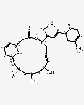 C=C1CC(O)/C=C/C[C@@H]([C@H](/C=C/[C@@H]2CC(C)=CCO2)OC)OC(=O)C[C@@H]2C=CC[C@@H](C[C@@H](C)C1)O2